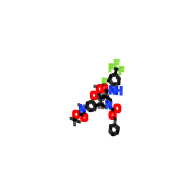 COC(=O)[C@@H]1[C@@H](C(=O)Nc2ccc(C(F)(F)F)cc2F)CN(C(=O)OCc2ccccc2)C[C@H]1c1ccc(N(C)C(=O)OC(C)(C)C)cc1